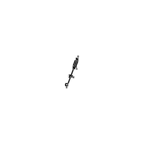 N#[N+][Zn][Cl]